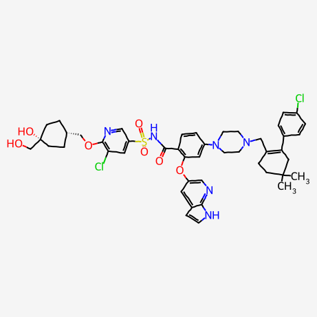 CC1(C)CCC(CN2CCN(c3ccc(C(=O)NS(=O)(=O)c4cnc(OC[C@H]5CC[C@](O)(CO)CC5)c(Cl)c4)c(Oc4cnc5[nH]ccc5c4)c3)CC2)=C(c2ccc(Cl)cc2)C1